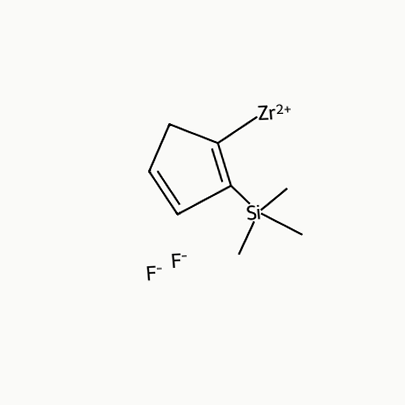 C[Si](C)(C)C1=[C]([Zr+2])CC=C1.[F-].[F-]